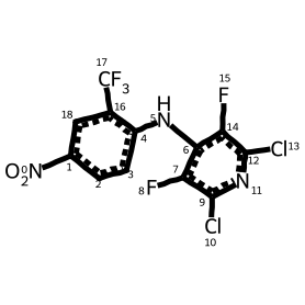 O=[N+]([O-])c1ccc(Nc2c(F)c(Cl)nc(Cl)c2F)c(C(F)(F)F)c1